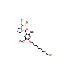 CCOC(SCC)[C@@H]1CCCN1C(=O)c1cc(OC)c(OCCCCCCCCBr)cc1[N+](=O)[O-]